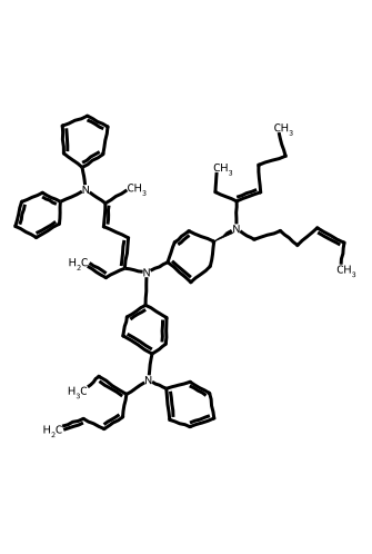 C=C/C=C\C(=C/C)N(c1ccccc1)c1ccc(N(C2=CC[C@H](N(CCC/C=C\C)/C(=C/CCC)CC)C=C2)/C(C=C)=C/C=C(\C)N(c2ccccc2)c2ccccc2)cc1